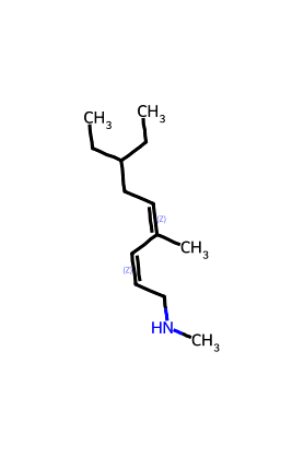 CCC(CC)C/C=C(C)\C=C/CNC